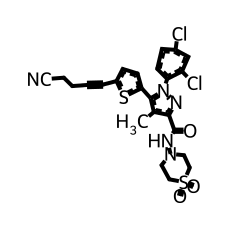 Cc1c(C(=O)NN2CCS(=O)(=O)CC2)nn(-c2ccc(Cl)cc2Cl)c1-c1ccc(C#CCCC#N)s1